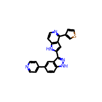 c1cc(-c2ccc3[nH]nc(-c4cc5c(-c6ccsc6)nccc5[nH]4)c3c2)ccn1